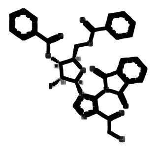 O=C(OC[C@H]1O[C@@H](n2cnc(C(=O)CCl)c2N2C(=O)c3ccccc3C2=O)[C@H](F)[C@@H]1OC(=O)c1ccccc1)c1ccccc1